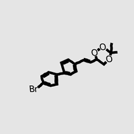 CC1(C)OCC(C=Cc2ccc(-c3ccc(Br)cc3)cc2)OO1